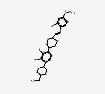 CCC1CCC(c2ccc(C3CCC(/C=C/c4ccc(OC)cc4F)CC3)c(F)c2F)CC1